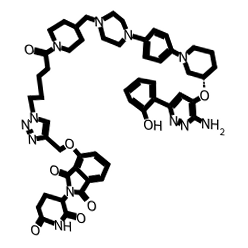 Nc1nnc(-c2ccccc2O)cc1O[C@H]1CCCN(c2ccc(N3CCN(CC4CCN(C(=O)CCCCn5cc(COc6cccc7c6C(=O)N(C6CCC(=O)NC6=O)C7=O)nn5)CC4)CC3)cc2)C1